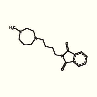 CN1CCCN(CCCCN2C(=O)c3ccccc3C2=O)CC1